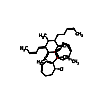 C=C=C(/C1=C\C/C=C\[C@H](C)CC1C1=CC=CCC[C@H]1Cl)/C(=C\C=C/C)[C@@H](C)[C@@H](CC/C=C\C)C(=C)/C=C\C